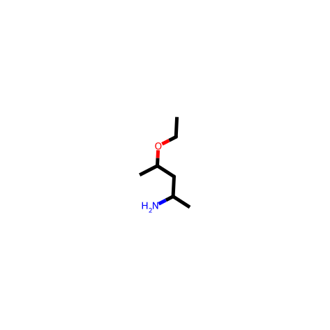 CCOC(C)CC(C)N